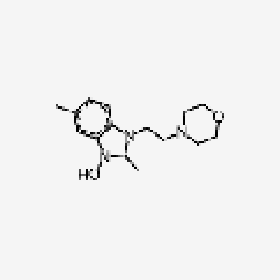 Cc1ccc2c(c1)N(O)C(C)N2CCN1CCOCC1